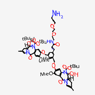 COc1cc2c(cc1OCc1cc(/C=C/C(=O)NCCOCCOCCN)cc(COc3cc4c(cc3OC)C(=O)N3C=C(C)C[C@H]3[C@H](O[Si](C)(C)C(C)(C)C)N4C(=O)OC(C)(C)C)c1)N(C(=O)OC(C)(C)C)[C@@H](O)[C@@H]1CC(C)=CN1C2=O